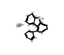 Br.c1ccc(-c2cccc3sc4ccccc4c23)cc1